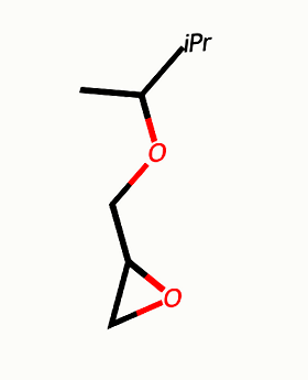 [CH2]C(C)C(C)OCC1CO1